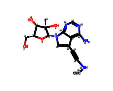 C[C@@]1(O)[C@H](O)[C@@H](CO)O[C@H]1n1cc(C#CNC=O)c2c(N)ncnc21